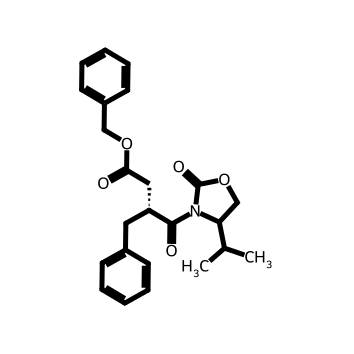 CC(C)C1COC(=O)N1C(=O)[C@@H](CC(=O)OCc1ccccc1)Cc1ccccc1